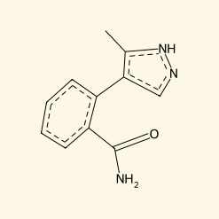 Cc1[nH]ncc1-c1ccccc1C(N)=O